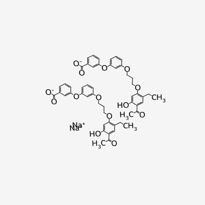 CCc1cc(C(C)=O)c(O)cc1OCCCOc1cccc(Oc2cccc(C(=O)[O-])c2)c1.CCc1cc(C(C)=O)c(O)cc1OCCCOc1cccc(Oc2cccc(C(=O)[O-])c2)c1.[Na+].[Na+]